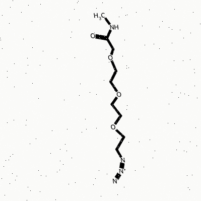 CNC(=O)COCCOCCOCCN=[N+]=[N-]